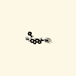 COCOC1CC2CCC3C(CCC4(C)C(C(=O)CO[Si](C)(C)C(C)(C)C)CCC34)C2(C)CC1OC(=O)c1ccccc1